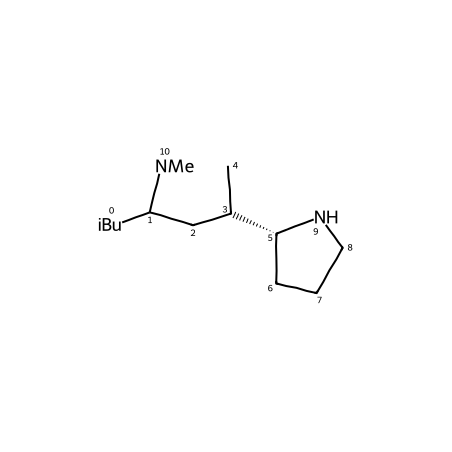 CCC(C)C(CC(C)[C@H]1CCCN1)NC